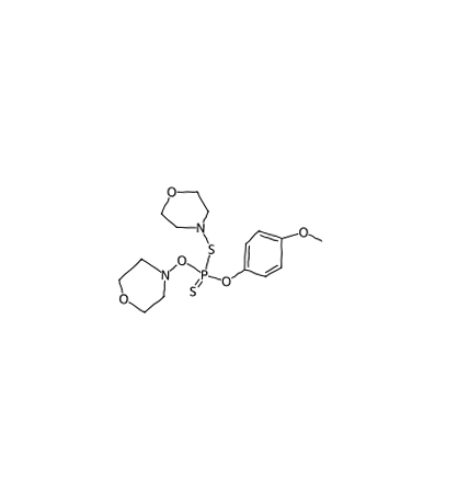 COc1ccc(OP(=S)(ON2CCOCC2)SN2CCOCC2)cc1